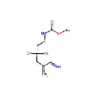 C=C(C=N)CC(C)(CC)CCNC(=O)OC(C)(C)C